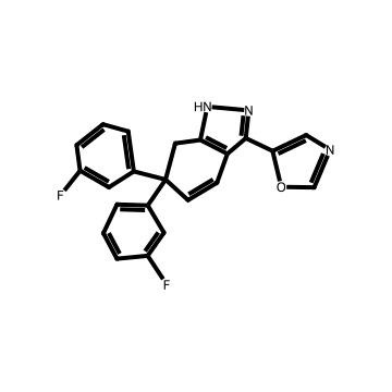 Fc1cccc(C2(c3cccc(F)c3)C=Cc3c(-c4cnco4)n[nH]c3C2)c1